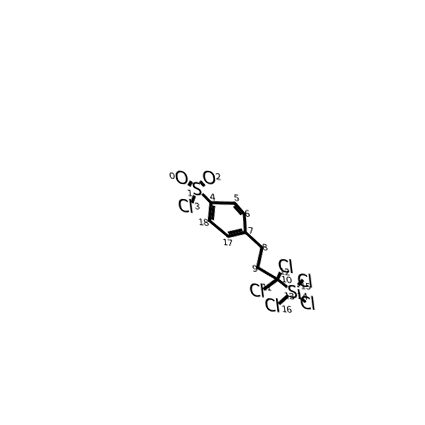 O=S(=O)(Cl)c1ccc(CCC(Cl)(Cl)[Si](Cl)(Cl)Cl)cc1